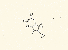 CCC(N)CC1C(CC)C(C)C(C2CC2)C12CC2